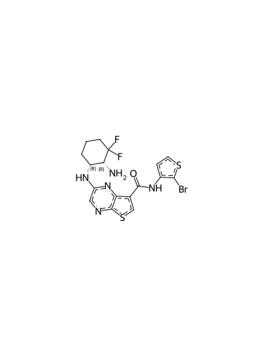 N[C@@H]1[C@H](Nc2cnc3scc(C(=O)Nc4ccsc4Br)c3n2)CCCC1(F)F